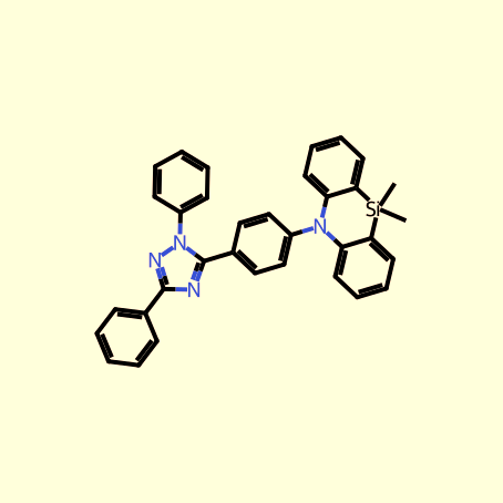 C[Si]1(C)c2ccccc2N(c2ccc(-c3nc(-c4ccccc4)nn3-c3ccccc3)cc2)c2ccccc21